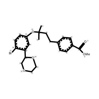 COC(=O)c1ccc(CCC(C)(C)Oc2ccc(Br)c(C3COCCO3)c2)cc1